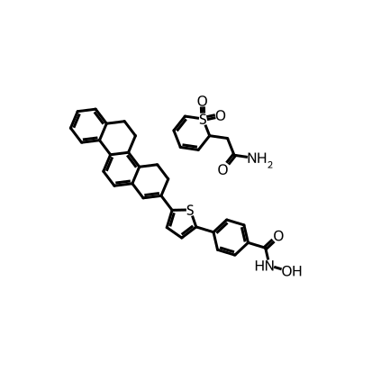 NC(=O)CC1C=CC=CS1(=O)=O.O=C(NO)c1ccc(-c2ccc(C3=Cc4ccc5c(c4CC3)CCc3ccccc3-5)s2)cc1